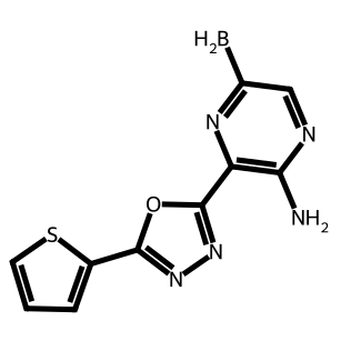 Bc1cnc(N)c(-c2nnc(-c3cccs3)o2)n1